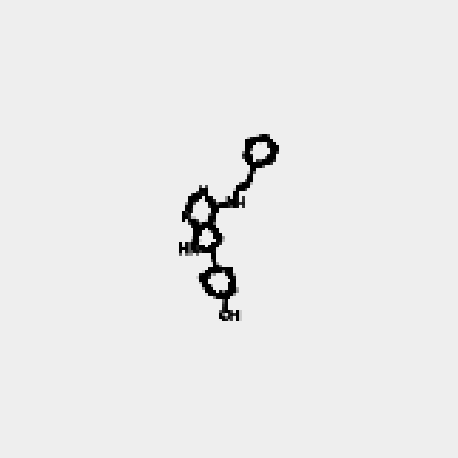 Oc1ccc(-c2cc3c(NC=Cc4ccccc4)ncnc3[nH]2)cc1